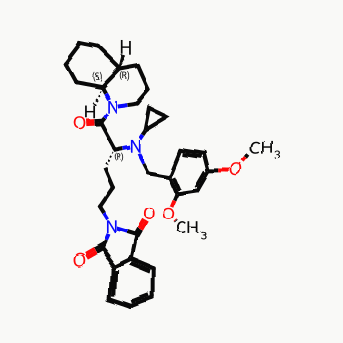 COc1ccc(CN(C2CC2)[C@H](CCCN2C(=O)c3ccccc3C2=O)C(=O)N2CCC[C@H]3CCCC[C@@H]32)c(OC)c1